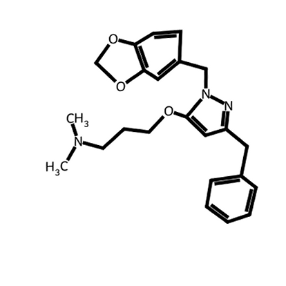 CN(C)CCCOc1cc(Cc2ccccc2)nn1Cc1ccc2c(c1)OCO2